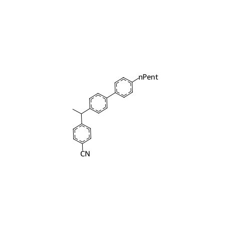 CCCCCc1ccc(-c2ccc(C(C)c3ccc(C#N)cc3)cc2)cc1